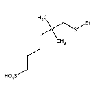 CCSCC(C)(C)CCCCS(=O)(=O)O